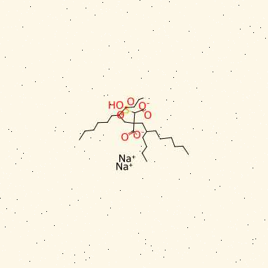 CCCCCCC(CCCC)CC(CC(CCCC)CCCCCC)(C(=O)[O-])C(C(=O)[O-])S(=O)(=O)O.[Na+].[Na+]